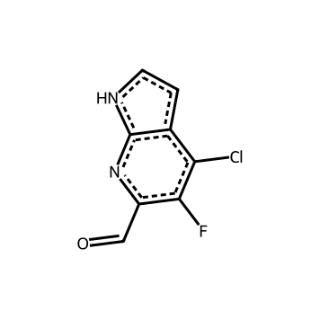 O=Cc1nc2[nH]ccc2c(Cl)c1F